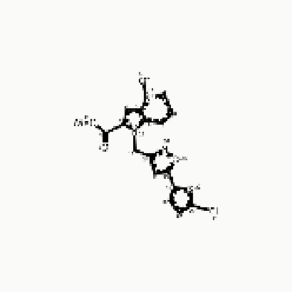 COC(=O)c1cc2c(ccc[n+]2[O-])n1Cc1cc(-c2ccc(Cl)s2)on1